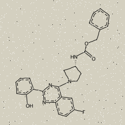 O=C(N[C@@H]1CCN(c2nc(-c3ccccc3O)nc3ccc(F)cc23)C1)OCc1ccccc1